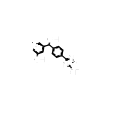 Cc1cncc(C(O)c2ccc(-c3noc(C(F)(F)F)n3)cc2)c1